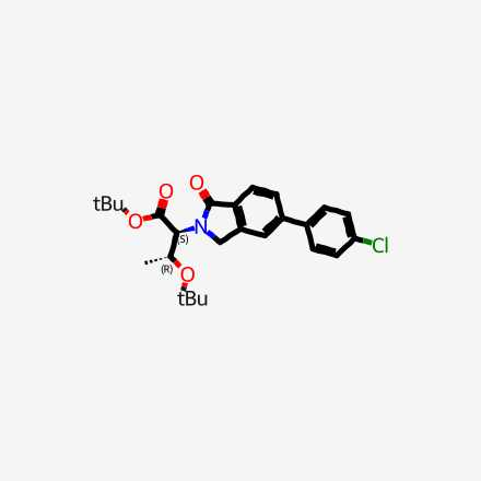 C[C@@H](OC(C)(C)C)[C@@H](C(=O)OC(C)(C)C)N1Cc2cc(-c3ccc(Cl)cc3)ccc2C1=O